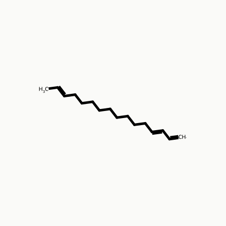 [CH]=CC=CCCCCCCCCCC=CC